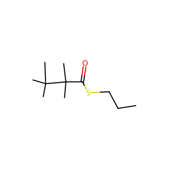 CCCSC(=O)C(C)(C)C(C)(C)C